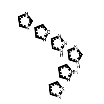 c1c[nH]cn1.c1c[nH]nn1.c1cn[nH]c1.c1cnoc1.c1cnsc1.c1cscn1